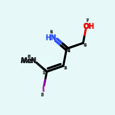 CN/C(I)=C\C(=N)CO